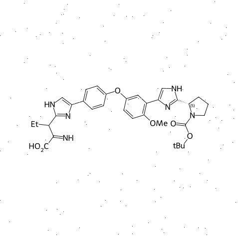 CCC(C(=N)C(=O)O)c1nc(-c2ccc(Oc3ccc(OC)c(-c4c[nH]c([C@@H]5CCCN5C(=O)OC(C)(C)C)n4)c3)cc2)c[nH]1